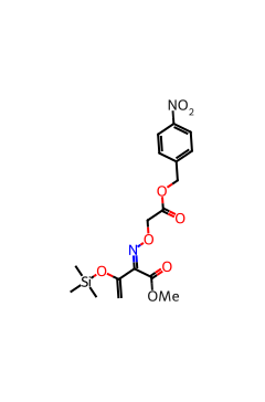 C=C(O[Si](C)(C)C)C(=NOCC(=O)OCc1ccc([N+](=O)[O-])cc1)C(=O)OC